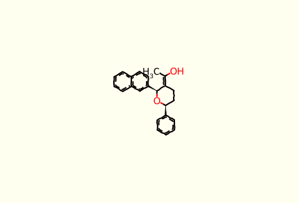 C/C(O)=C1/CC[C@@H](c2ccccc2)O[C@H]1c1ccc2ccccc2c1